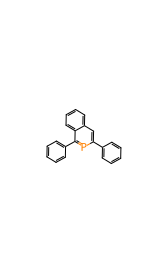 c1ccc(-c2cc3ccccc3c(-c3ccccc3)p2)cc1